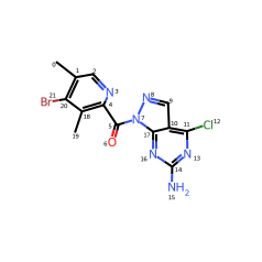 Cc1cnc(C(=O)n2ncc3c(Cl)nc(N)nc32)c(C)c1Br